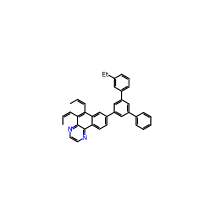 C/C=C\c1c(/C=C\C)c2nccnc2c2ccc(-c3cc(-c4ccccc4)cc(-c4cccc(CC)c4)c3)cc12